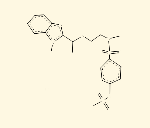 CC(NCCN(C)S(=O)(=O)c1ccc(NS(C)(=O)=O)cc1)c1nc2ccccc2n1C.Cl.Cl